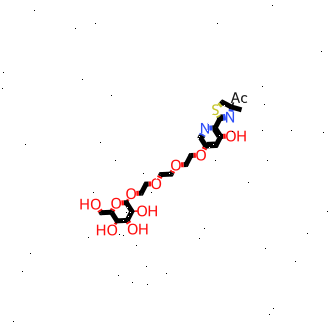 CC(=O)[C@@]1(C)CSC(c2ncc(OCCOCCOCCO[C@@H]3OC(CO)[C@H](O)C(O)[C@H]3O)cc2O)=N1